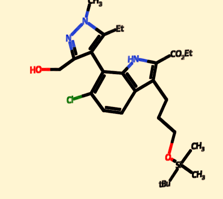 CCOC(=O)c1[nH]c2c(-c3c(CO)nn(C)c3CC)c(Cl)ccc2c1CCCO[Si](C)(C)C(C)(C)C